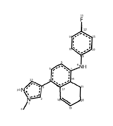 Cn1cc(-c2ccc(Nc3ccc(F)cc3)c3c2C=CCC3)cn1